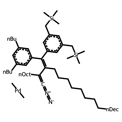 CCCCCCCCCCCCCCCCCCC(C(=C=[N+]=[N-])CCCCCCCC)=C(c1cc(CCCC)cc(CCCC)c1)c1cc(C[Si](C)(C)C)cc(C[Si](C)(C)C)c1.[CH3][Pd][CH3]